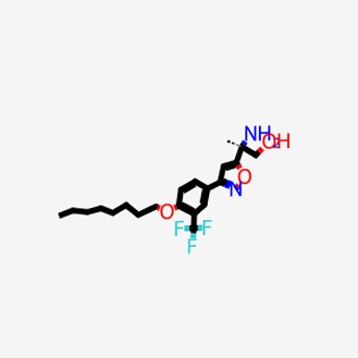 CCCCCCCCOc1ccc(-c2cc([C@@](C)(N)CO)on2)cc1C(F)(F)F